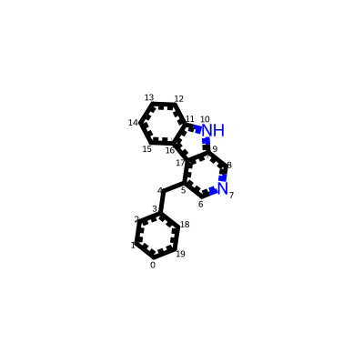 c1ccc(Cc2cncc3[nH]c4ccccc4c23)cc1